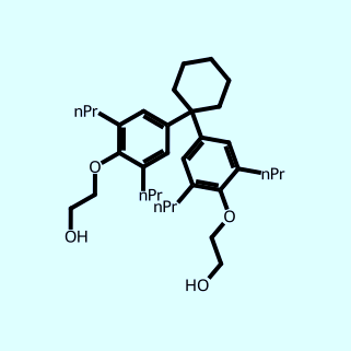 CCCc1cc(C2(c3cc(CCC)c(OCCO)c(CCC)c3)CCCCC2)cc(CCC)c1OCCO